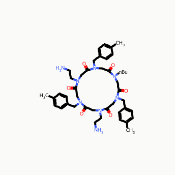 CCCCN1CC(=O)N(Cc2ccc(C)cc2)CC(=O)N(CCN)CC(=O)N(Cc2ccc(C)cc2)CC(=O)N(CCN)CC(=O)N(Cc2ccc(C)cc2)CC1=O